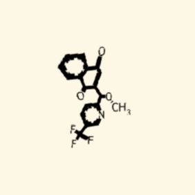 COC(C1=CC(=O)c2ccccc2C1=O)c1ccc(C(F)(F)F)cn1